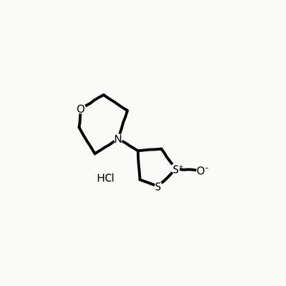 Cl.[O-][S+]1CC(N2CCOCC2)CS1